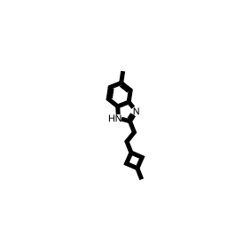 CC1=CC2N=C(CCC3CC(C)C3)NC2C=C1